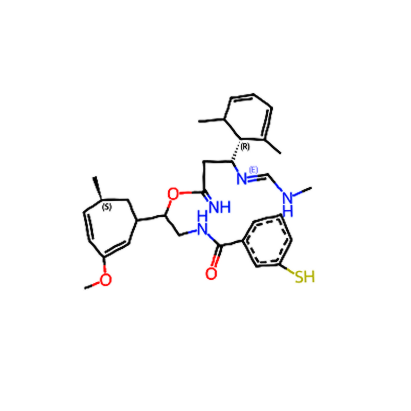 CN/C=N/C(CC(=N)OC(CNC(=O)c1cccc(S)c1)C1C=C(OC)C=C[C@@H](C)C1)[C@H]1C(C)=CC=CC1C